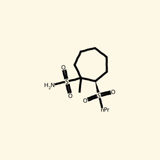 CCCS(=O)(=O)[C@@H]1CCCCCC1(C)S(N)(=O)=O